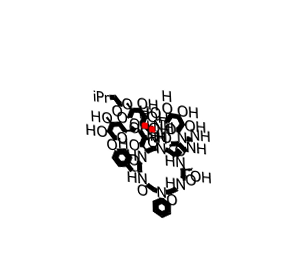 CC(C)CC(=O)O[C@@H]1[C@@H](O[C@H]2[C@H](O)[C@H](O)[C@@H](Oc3ccc(C[C@H]4NC(=O)CN(c5ccccc5)C(=O)CNC(=O)[C@H](CO)NC(=O)[C@@H](C(O)C5CNC(=N)N5[C@H]5O[C@H](CO)[C@@H](O)[C@H](O)[C@@H]5O)NC(=O)[C@H](C(O)C5CNC(=N)N5)NC4=O)cc3)O[C@@H]2CO)O[C@H](CO)[C@@H](O)[C@@H]1O